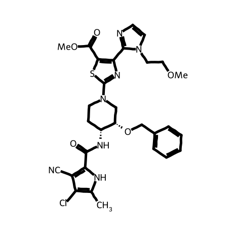 COCCn1ccnc1-c1nc(N2CC[C@@H](NC(=O)c3[nH]c(C)c(Cl)c3C#N)[C@@H](OCc3ccccc3)C2)sc1C(=O)OC